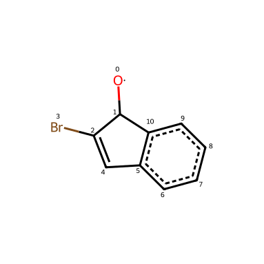 [O]C1C(Br)=Cc2ccccc21